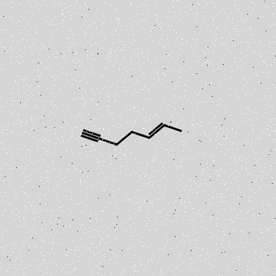 C#CCCC=CC